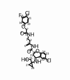 C=C(CCNC(=O)COc1ccc(Cl)c(F)c1)NC(=O)[C@H]1C[C@H](NC2(CO)CC2)c2cc(Cl)ccc2O1